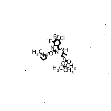 CN1CCC[C@H]1COc1nc(NC2CN(C(=O)OC(C)(C)C)C2)c2cc(Cl)c(Br)c(F)c2n1